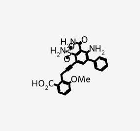 COc1cccc(C(=O)O)c1CC#Cc1cc(-c2ccccc2)c(N)c(C(N)=O)c1S(N)(=O)=O